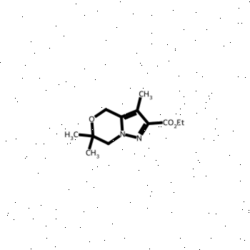 CCOC(=O)c1nn2c(c1C)COC(C)(C)C2